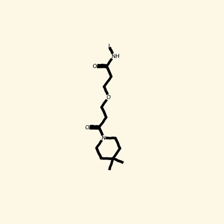 CC1(C)CCN(C(=O)CCOCCC(=O)NI)CC1